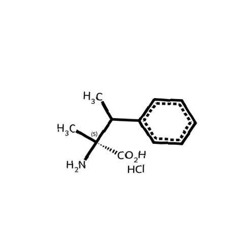 CC(c1ccccc1)[C@](C)(N)C(=O)O.Cl